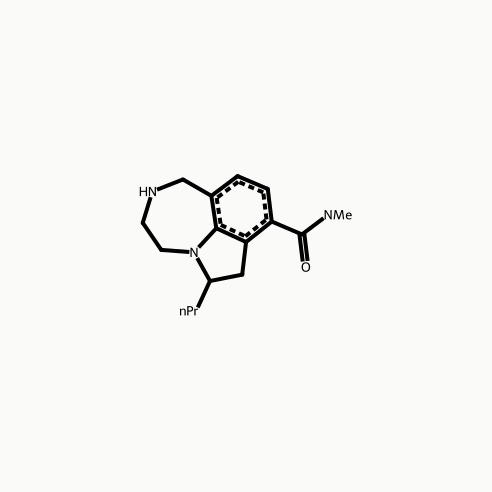 CCCC1Cc2c(C(=O)NC)ccc3c2N1CCNC3